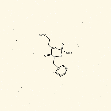 CCOC(=O)CCNC(=O)[C@H](Cc1ccccc1)OP(=O)(OC)OC